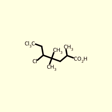 CC(CC(C)(C)C(Cl)CC(Cl)(Cl)Cl)C(=O)O